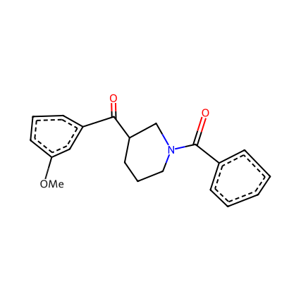 COc1cccc(C(=O)C2CCCN(C(=O)c3ccccc3)C2)c1